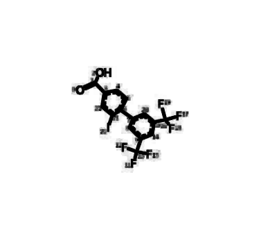 O=C(O)c1ccc(-c2cc(C(F)(F)F)cc(C(F)(F)F)c2)c(I)c1